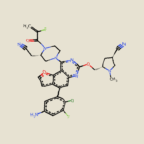 C=C(F)C(=O)N1CCN(c2nc(OC[C@@H]3C[C@@H](C#N)CN3C)nc3cc(-c4cc(N)cc(F)c4Cl)c4ccoc4c23)C[C@@H]1CC#N